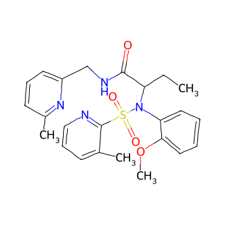 CCC(C(=O)NCc1cccc(C)n1)N(c1ccccc1OC)S(=O)(=O)c1ncccc1C